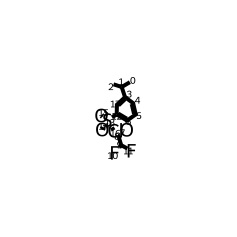 CC(C)c1ccc(OCC(F)F)c(S(=O)(=O)Cl)c1